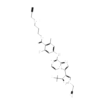 C#CCNCCCNC(=O)c1c(C)cc(Nc2nccn3c(-c4cn(CC#N)nc4C(F)(F)F)cnc23)cc1F